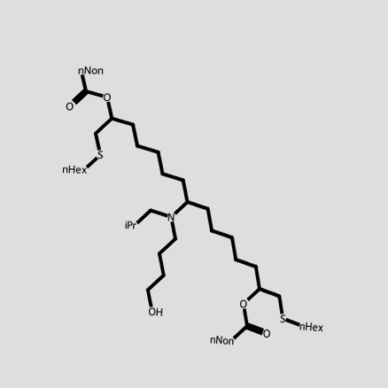 CCCCCCCCCC(=O)OC(CCCCCC(CCCCCC(CSCCCCCC)OC(=O)CCCCCCCCC)N(CCCCO)CC(C)C)CSCCCCCC